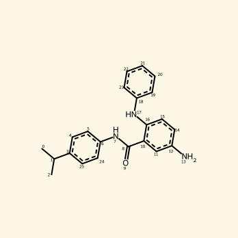 CC(C)c1ccc(NC(=O)c2cc(N)ccc2Nc2ccccc2)cc1